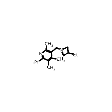 CCC1CN(Cc2c(C)nc(C(C)C)c(C)c2C)C1